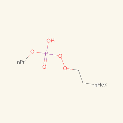 CCCCCCCCOOP(=O)(O)OCCC